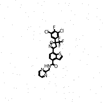 O=C(NCc1ncccn1)c1ccc(C2=NOC(c3cc(Cl)c(F)c(Cl)c3)(C(F)(F)F)C2)c2sccc12